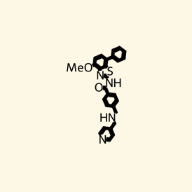 COc1ccc(-c2ccccc2)c2sc(NC(=O)c3ccc(CNCc4ccncc4)cc3)nc12